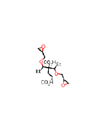 CCC(OCC1CO1)C(CCC(=O)O)(C(=O)O)C(CC)OCC1CO1